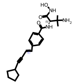 CC(C)(N)[C@H](NC(=O)c1ccc(/C=C/C#CC2CCCC2)cc1)C(=O)NO